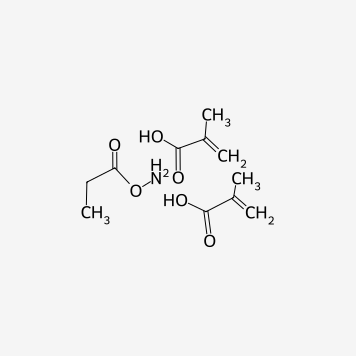 C=C(C)C(=O)O.C=C(C)C(=O)O.CCC(=O)ON